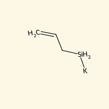 C=CC[SiH2][K]